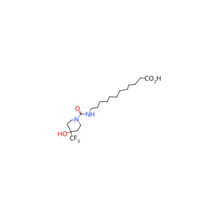 O=C(O)CCCCCCCCCCCNC(=O)N1CCC(O)(C(F)(F)F)CC1